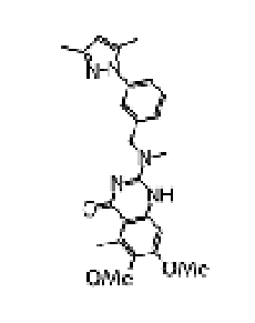 COc1cc2[nH]c(N(C)Cc3cccc(-n4nc(C)cc4C)c3)nc(=O)c2c(C)c1OC